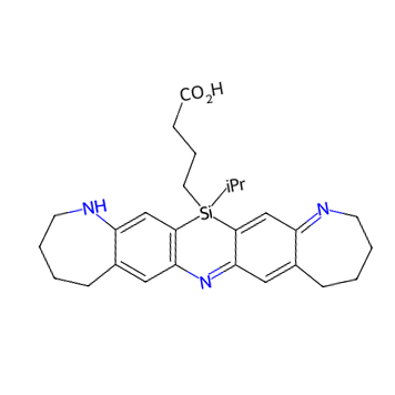 CC(C)[Si]1(CCCC(=O)O)c2cc3c(cc2N=c2cc4c(cc21)=NCCCC4)CCCCN3